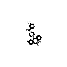 Cc1cncc(C(=O)N2CCN(C3c4cc(F)ccc4CS(=O)(=O)c4ccccc43)CC2)c1